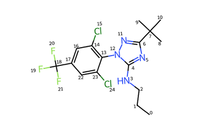 CCCNc1nc(C(C)(C)C)nn1-c1c(Cl)cc(C(F)(F)F)cc1Cl